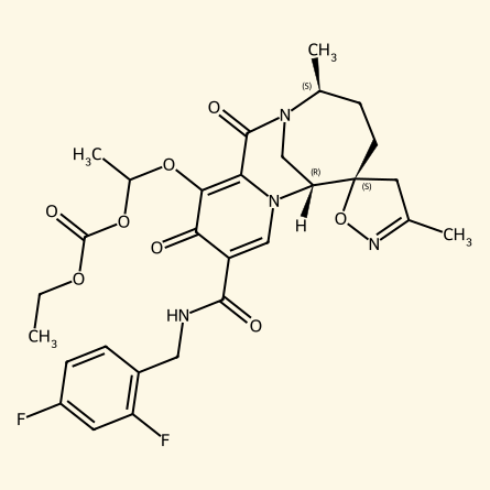 CCOC(=O)OC(C)Oc1c2n(cc(C(=O)NCc3ccc(F)cc3F)c1=O)[C@@H]1CN(C2=O)[C@@H](C)CC[C@]12CC(C)=NO2